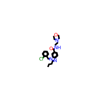 CCCc1nc2ccc(C(=O)NCCN3CCOCC3)cc2n1Cc1ccccc1Cl